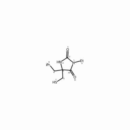 CCN1C(=O)NC(CS)(CC(C)C)C1=O